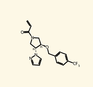 C=CC(=O)N1C[C@@H](n2cccn2)[C@H](OCc2ccc(C(F)(F)F)cc2)C1